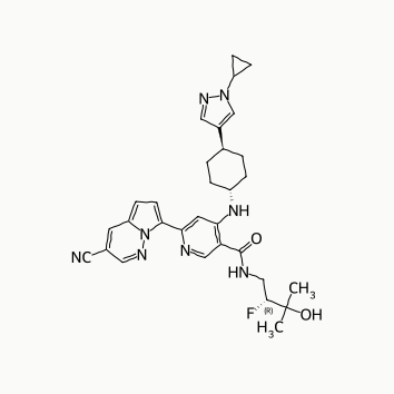 CC(C)(O)[C@H](F)CNC(=O)c1cnc(-c2ccc3cc(C#N)cnn23)cc1N[C@H]1CC[C@H](c2cnn(C3CC3)c2)CC1